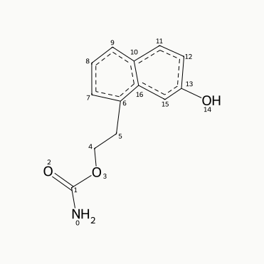 NC(=O)OCCc1cccc2ccc(O)cc12